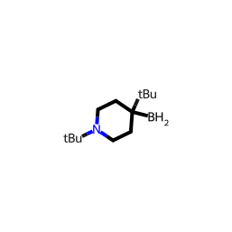 BC1(C(C)(C)C)CCN(C(C)(C)C)CC1